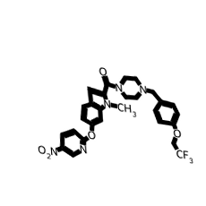 Cn1c(C(=O)N2CCN(Cc3ccc(OCC(F)(F)F)cc3)CC2)cc2ccc(Oc3ccc([N+](=O)[O-])cn3)cc21